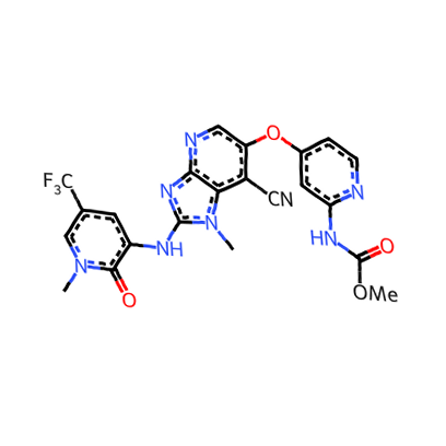 COC(=O)Nc1cc(Oc2cnc3nc(Nc4cc(C(F)(F)F)cn(C)c4=O)n(C)c3c2C#N)ccn1